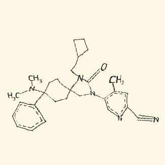 Cc1cc(C#N)ncc1N1CC2(CCC(c3ccccc3)(N(C)C)CC2)N(CC2CCC2)C1=O